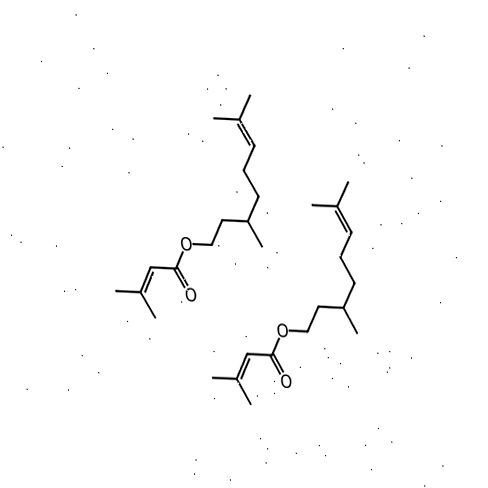 CC(C)=CCCC(C)CCOC(=O)C=C(C)C.CC(C)=CCCC(C)CCOC(=O)C=C(C)C